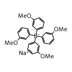 COc1cccc([B-](c2cccc(OC)c2)(c2cccc(OC)c2)c2cccc(OC)c2)c1.[Na+]